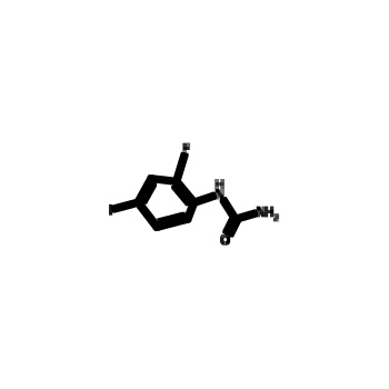 NC(=O)Nc1ccc(I)cc1F